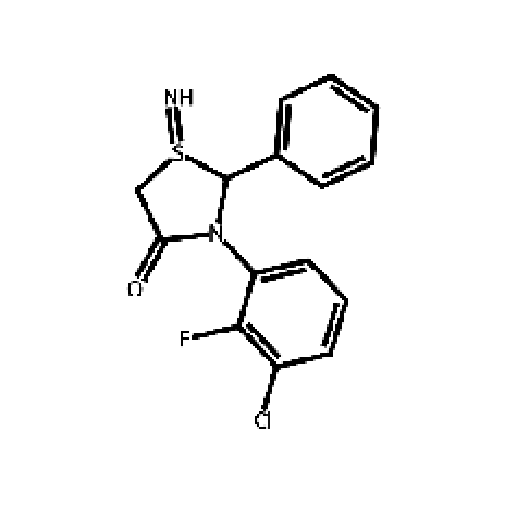 N=S1CC(=O)N(c2cccc(Cl)c2F)C1c1ccccc1